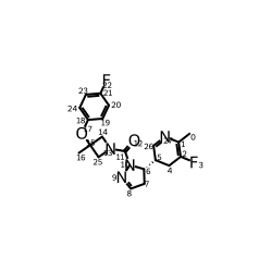 CC1=C(F)CC([C@@H]2CC=NN2C(=O)N2CC(C)(Oc3ccc(F)cc3)C2)C=N1